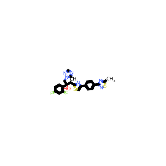 Cc1nc(-c2ccc(-c3csc([C@H](C)[C@](O)(Cn4cncn4)c4ccc(F)cc4F)n3)cc2)ns1